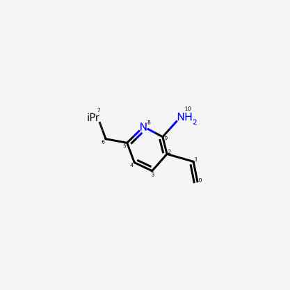 C=Cc1ccc(CC(C)C)nc1N